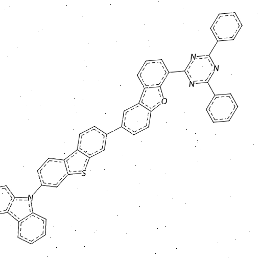 c1ccc(-c2nc(-c3ccccc3)nc(-c3cccc4c3oc3ccc(-c5ccc6c(c5)sc5cc(-n7c8ccccc8c8ccccc87)ccc56)cc34)n2)cc1